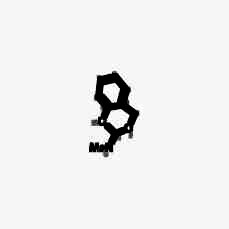 CNC1OCc2ccccc2O1